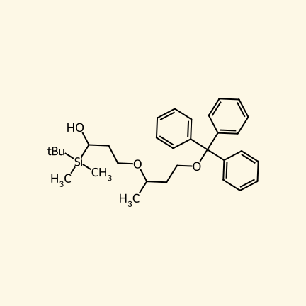 CC(CCOC(c1ccccc1)(c1ccccc1)c1ccccc1)OCCC(O)[Si](C)(C)C(C)(C)C